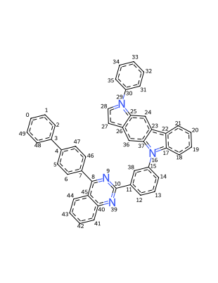 c1ccc(-c2ccc(-c3nc(-c4cccc(-n5c6ccccc6c6cc7c(ccn7-c7ccccc7)cc65)c4)nc4ccccc34)cc2)cc1